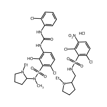 CCN1CCCC1CNS(=O)(=O)c1c(Cl)ccc([N+](=O)[O-])c1Cl.CCN1CCCC1N(C)S(=O)(=O)c1c(Cl)ccc(NC(=O)Nc2ccccc2Cl)c1O.Cl